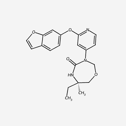 CC[C@]1(C)COCN(c2ccnc(Oc3ccc4ccoc4c3)c2)C(=O)N1